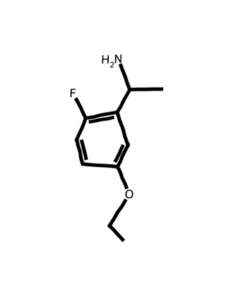 CCOc1ccc(F)c(C(C)N)c1